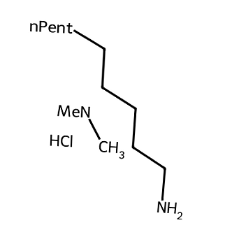 CCCCCCCCCCN.CNC.Cl